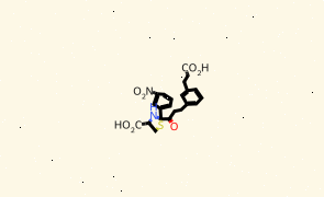 O=C(O)CCc1cccc(CCC(=O)C2(c3cccc([N+](=O)[O-])c3)NC(C(=O)O)CS2)c1